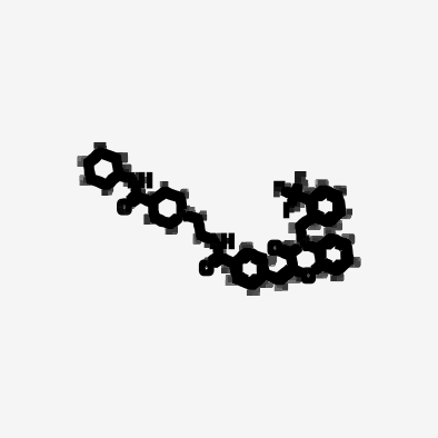 O=C(NCCN1CCC(C(=O)NC2CCCCC2)CC1)c1ccc(C=C2Oc3ccccc3N(Cc3ccccc3C(F)(F)F)C2=O)cc1